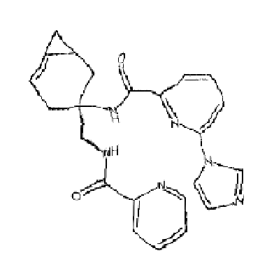 O=C(NCC1(NC(=O)c2cccc(-n3ccnc3)n2)CC=C2CC2C1)c1ccccn1